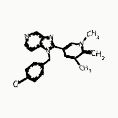 C=C1C(C)=CC(c2nc3cnccc3n2Cc2ccc(Cl)cc2)=CN1C